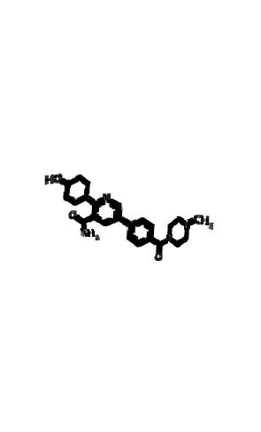 CN1CCN(C(=O)c2ccc(-c3cnc(C4CCC(O)CC4)c(C(N)=O)c3)cc2)CC1